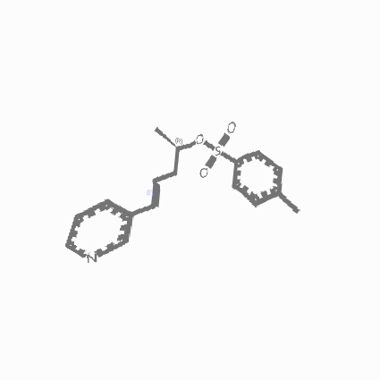 Cc1ccc(S(=O)(=O)O[C@H](C)C/C=C/c2cccnc2)cc1